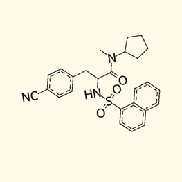 CN(C(=O)C(Cc1ccc(C#N)cc1)NS(=O)(=O)c1cccc2ccccc12)C1CCCC1